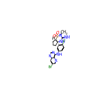 CN1C(=N)N[C@@]2(c3cc(Nc4ncnc5cc(Br)cnc45)ccc3F)CCC[C@H]2S1(=O)=O